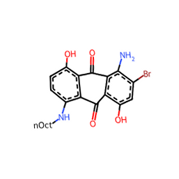 CCCCCCCCNc1ccc(O)c2c1C(=O)c1c(O)cc(Br)c(N)c1C2=O